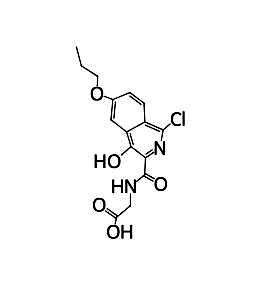 CCCOc1ccc2c(Cl)nc(C(=O)NCC(=O)O)c(O)c2c1